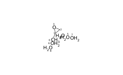 CC1CO1.O.O.O.O.O